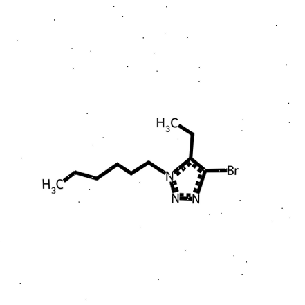 CCCCCCn1nnc(Br)c1CC